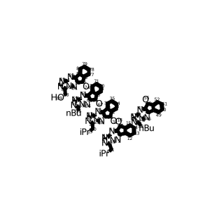 CC(C)Cc1nnc2nc3c(nn12)-c1ccccc1C3=O.CC(C)Cc1nnc2nc3c(nn12)C(=O)c1ccccc1-3.CCCCc1nnc2nc3c(nn12)-c1ccccc1C3=O.CCCCc1nnc2nc3c(nn12)C(=O)c1ccccc1-3.O=C1c2ccccc2-c2nc3nnc(CO)n3nc21